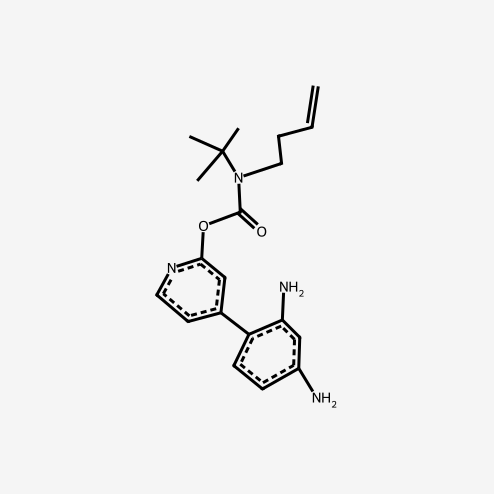 C=CCCN(C(=O)Oc1cc(-c2ccc(N)cc2N)ccn1)C(C)(C)C